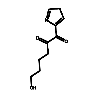 O=C(CCCCO)C(=O)C1=CCC=N1